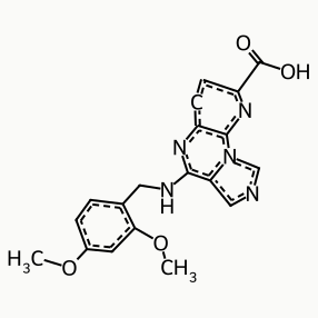 COc1ccc(CNc2nc3ccc(C(=O)O)nc3n3cncc23)c(OC)c1